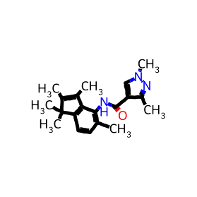 CC1=C(C)C(C)(C)c2ccc(C)c(NC(=O)c3cn(C)nc3C)c21